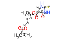 C=C(C)C(=O)OCCCCC(C)OC(=O)c1c[nH]c(=S)[nH]c1=O